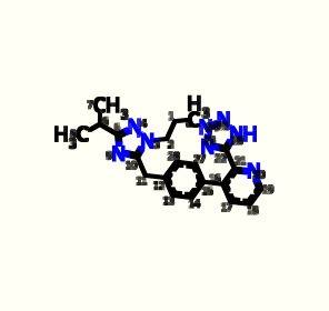 CCCn1nc(C(C)C)nc1Cc1ccc(-c2cccnc2-c2nnn[nH]2)cc1